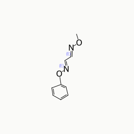 CO/N=C/C=N/Oc1ccccc1